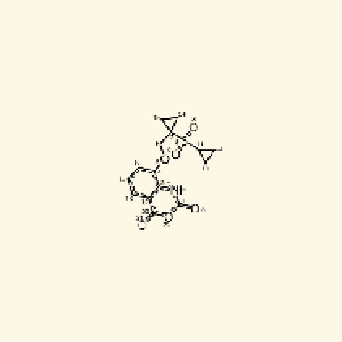 O=c1[nH]c2c(OCC3(S(=O)(=O)C4CC4)CC3)cccc2c(=O)o1